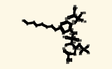 CCCCCCCCc1cccc(NS(=O)(=O)N(C)[C@H](CC(=O)O)C[N+](C)(C)C)c1.O=C([O-])C(F)(F)F